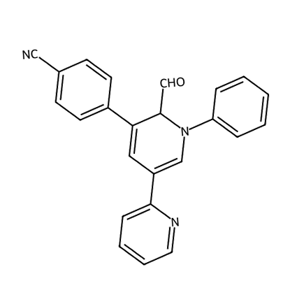 N#Cc1ccc(C2=CC(c3ccccn3)=CN(c3ccccc3)C2C=O)cc1